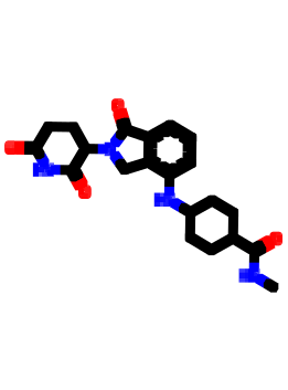 CNC(=O)C1CCC(Nc2cccc3c2CN(C2CCC(=O)NC2=O)C3=O)CC1